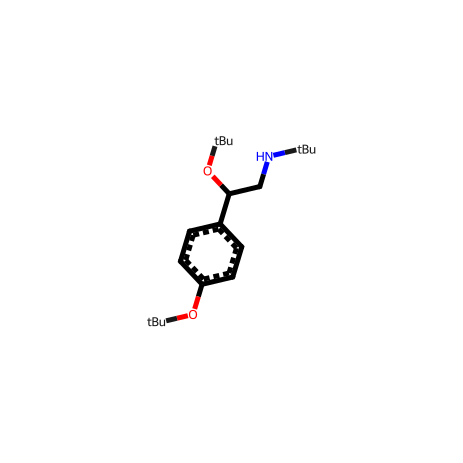 CC(C)(C)NCC(OC(C)(C)C)c1ccc(OC(C)(C)C)cc1